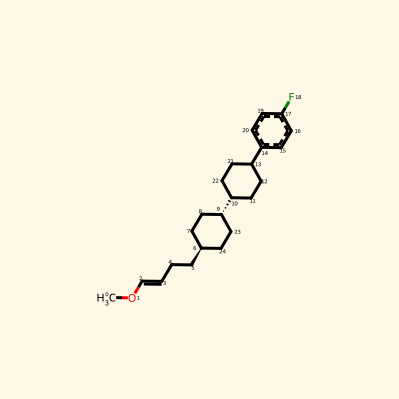 CO/C=C/CC[C@H]1CC[C@H](C2CCC(c3ccc(F)cc3)CC2)CC1